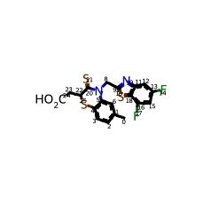 Cc1ccc2c(c1)N(Cc1nc3cc(F)cc(F)c3s1)C(=S)C(CC(=O)O)S2